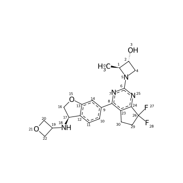 C[C@H]1[C@H](O)CN1c1nc(-c2ccc3c(c2)OC[C@@H]3NC2COC2)c2c(n1)C(F)(F)CC2